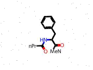 CCCC(=O)NC(Cc1ccccc1)C(=O)NC